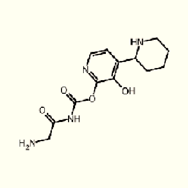 NCC(=O)NC(=O)Oc1nccc(C2CCCCN2)c1O